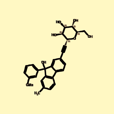 COc1cccc(C2(O)c3cc(C)ccc3-c3ccc(C#C[C@H]4O[C@H](CO)[C@@H](O)[C@H](O)[C@@H]4O)cc32)c1